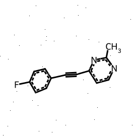 Cc1nccc(C#Cc2ccc(F)cc2)n1